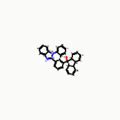 OC1(c2cccc3c2c2ccccc2n2c4ccccc4nc32)C2C=CC=CC2C2C=CC=CC21